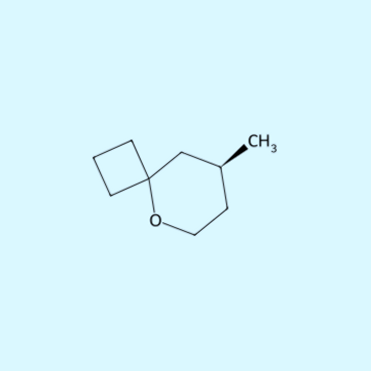 C[C@H]1CCOC2(CCC2)C1